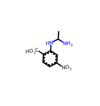 CC(N)Nc1cc([N+](=O)[O-])ccc1C(=O)O